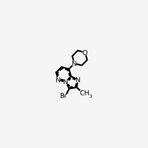 Cc1nc2c(N3CCOCC3)ccnn2c1Br